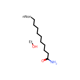 CCCCCCCCCCCCCCCCCCC(N)=O.CCO